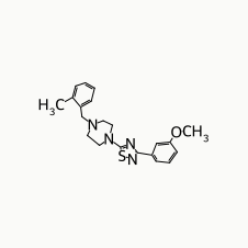 COc1cccc(-c2nsc(N3CCN(Cc4ccccc4C)CC3)n2)c1